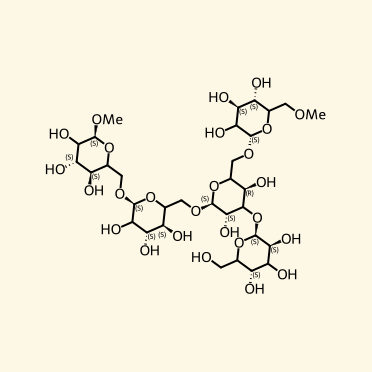 COCC1O[C@H](OCC2O[C@H](OCC3O[C@H](OCC4O[C@H](OC)C(O)[C@@H](O)[C@@H]4O)C(O)[C@@H](O)[C@@H]3O)[C@@H](O)C(O[C@@H]3OC(CO)[C@@H](O)C(O)[C@@H]3O)[C@@H]2O)C(O)[C@@H](O)[C@@H]1O